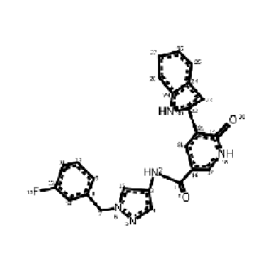 O=C(Nc1cnn(Cc2cccc(F)c2)c1)c1c[nH]c(=O)c(-c2cc3ccccc3[nH]2)c1